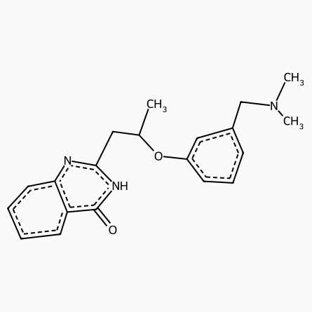 CC(Cc1nc2ccccc2c(=O)[nH]1)Oc1cccc(CN(C)C)c1